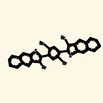 Brc1cc(-c2sc3cc4ccccc4cc3c2Br)c(Br)cc1-c1sc2cc3ccccc3cc2c1Br